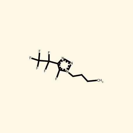 CCCCn1nnc(C(F)(F)C(F)(F)F)c1F